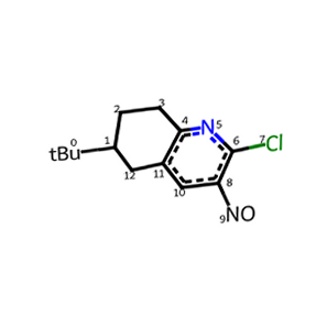 CC(C)(C)C1CCc2nc(Cl)c(N=O)cc2C1